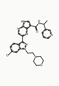 CC(NC(=O)c1c[nH]c2ncc(-c3nn(CCN4CCOCC4)c4cc(Cl)ccc34)nc12)c1cccnc1